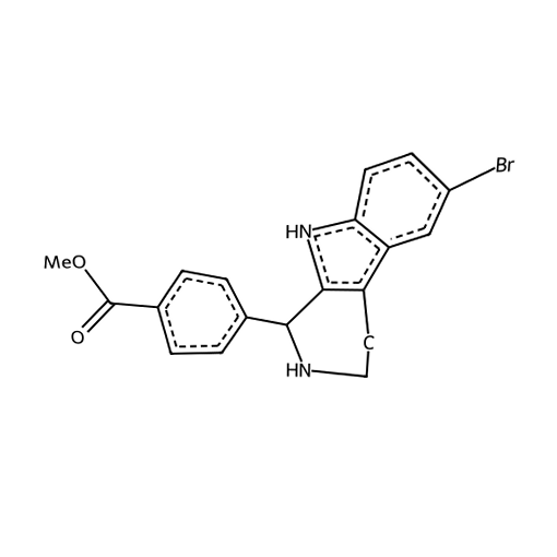 COC(=O)c1ccc(C2NCCc3c2[nH]c2ccc(Br)cc32)cc1